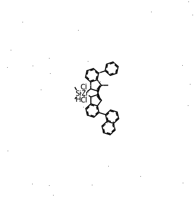 CC1=Cc2c(-c3cccc4ccccc34)cccc2[CH]1[Zr]([Cl])([Cl])([CH]1C(C)=C(C)c2c(-c3ccccc3)cccc21)[SiH](C)C